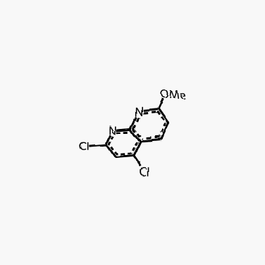 COc1ccc2c(Cl)cc(Cl)nc2n1